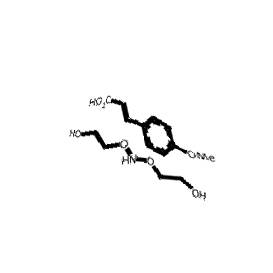 COc1ccc(C=CC(=O)O)cc1.OCCONOCCO